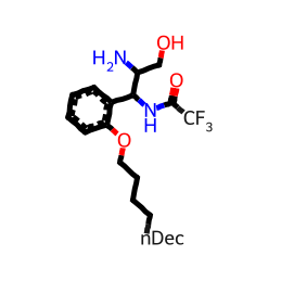 CCCCCCCCCCCCCCOc1ccccc1C(NC(=O)C(F)(F)F)C(N)CO